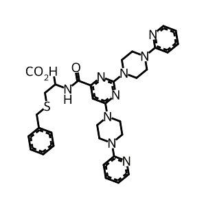 O=C(NC(CSCc1ccccc1)C(=O)O)c1cc(N2CCN(c3ccccn3)CC2)nc(N2CCN(c3ccccn3)CC2)n1